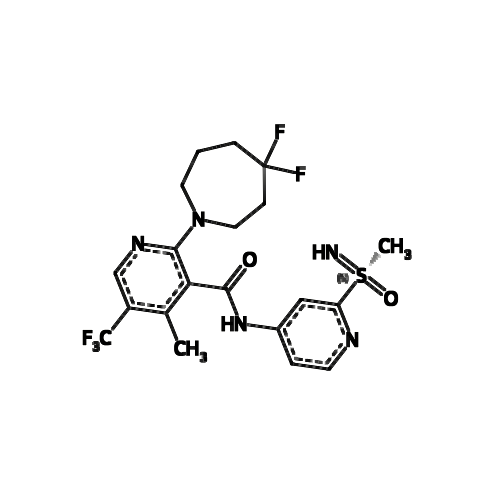 Cc1c(C(F)(F)F)cnc(N2CCCC(F)(F)CC2)c1C(=O)Nc1ccnc([S@@](C)(=N)=O)c1